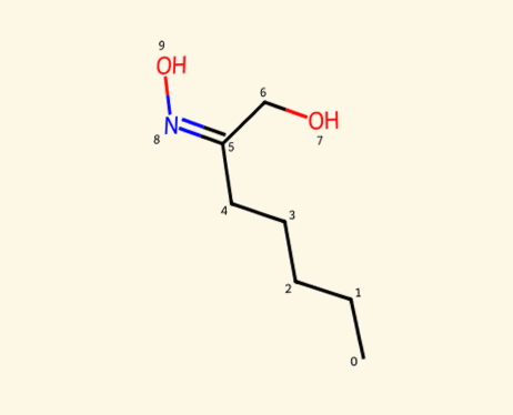 CCCCC/C(CO)=N/O